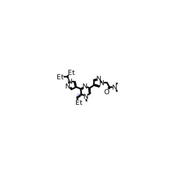 CC/C=C1/C(c2cnn(C(CC)CC)c2)=NC(c2cnn(CC(=O)N(C)C)c2)=CN1C